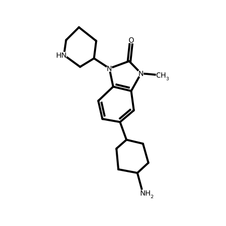 Cn1c(=O)n(C2CCCNC2)c2ccc(C3CCC(N)CC3)cc21